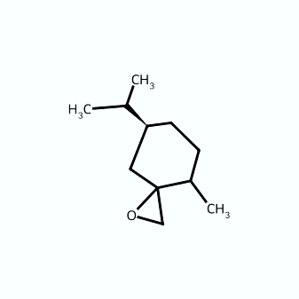 CC(C)[C@H]1CCC(C)C2(CO2)C1